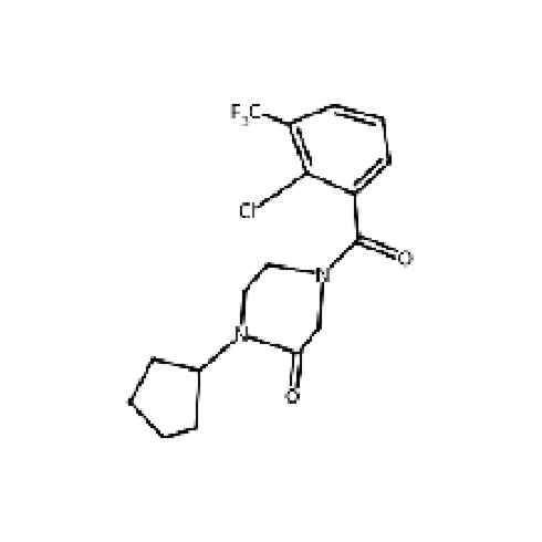 O=C(c1cccc(C(F)(F)F)c1Cl)N1CCN(C2CCCC2)C(=O)C1